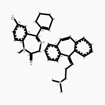 CN(C)CCC=C1c2ccccc2C=Cc2ccccc21.CN1C(=O)CN=C(C2=CCCCC2)c2cc(Cl)ccc21